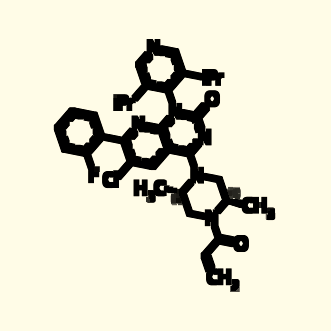 C=CC(=O)N1C[C@H](C)N(c2nc(=O)n(-c3c(C(C)C)cncc3C(C)C)c3nc(-c4ccccc4F)c(Cl)cc23)C[C@H]1C